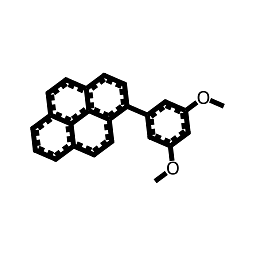 COc1cc(OC)cc(-c2ccc3ccc4cccc5ccc2c3c45)c1